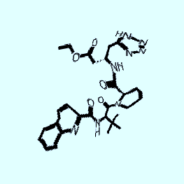 CCOC(=O)C[C@H](Cc1nnn[nH]1)NC(=O)[C@H]1CCCN1C(=O)C(NC(=O)c1ccc2ccccc2n1)C(C)(C)C